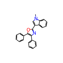 Cn1cc(-c2nc(-c3ccccc3)c(-c3ccccc3)o2)c2ccccc21